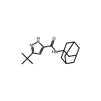 CC(C)(C)c1cc(C(=O)NC23CC4CC(CC(C4)C2)C3)[nH]n1